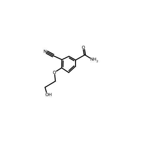 N#Cc1cc(C(N)=O)ccc1OCCO